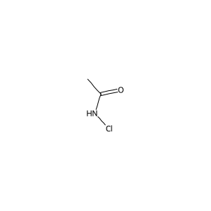 CC(=O)NCl